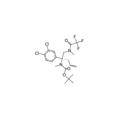 C=CC[C@@](CN(C)C(=O)C(F)(F)F)(c1ccc(Cl)c(Cl)c1)N(C)C(=O)OC(C)(C)C